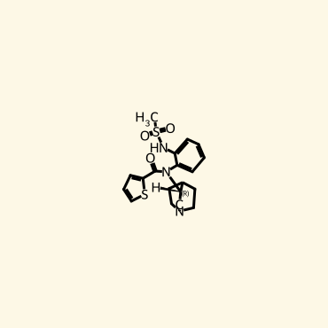 CS(=O)(=O)Nc1ccccc1N(C(=O)c1cccs1)[C@H]1CN2CCC1CC2